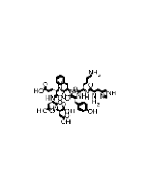 NCCCC[C@H](NC(=O)[C@H](N)Cc1c[nH]cn1)C(=O)N[C@@H](Cc1ccc(O)cc1)C(=O)N[C@H](Cc1ccccc1)C(=O)N[C@@H](CCC(=O)O)C(=O)N[C@H](CC(=O)O)C(=O)N[C@H](CC(=O)O)C(=O)O